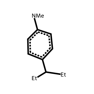 CCC(CC)c1ccc(NC)cc1